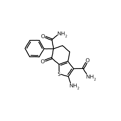 NC(=O)c1c(N)sc2c1CCC(C(N)=O)(c1ccccc1)C2=O